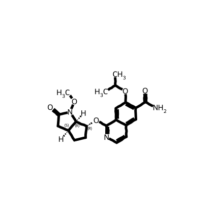 CON1C(=O)C[C@@H]2CC[C@@H](Oc3nccc4cc(C(N)=O)c(OC(C)C)cc34)[C@@H]21